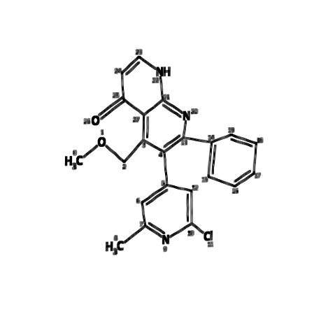 COCc1c(-c2cc(C)nc(Cl)c2)c(-c2ccccc2)nc2[nH]ccc(=O)c12